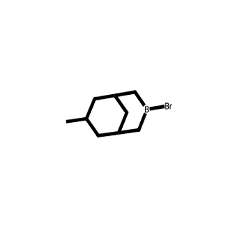 CC1CC2CB(Br)CC(C1)C2